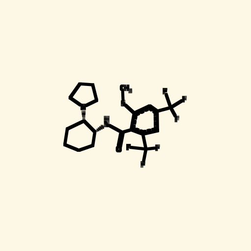 CSc1cc(C(F)(F)F)cc(C(F)(F)F)c1C(=O)N[C@@H]1CCCC[C@@H]1N1CCCC1